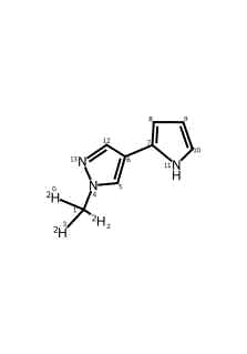 [2H]C([2H])([2H])n1cc(-c2ccc[nH]2)cn1